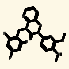 CNc1ccc(N2Sc3cccnc3N(Cc3c(F)cc(F)cc3F)C2=O)nc1OC